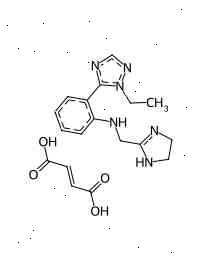 CCn1ncnc1-c1ccccc1NCC1=NCCN1.O=C(O)/C=C/C(=O)O